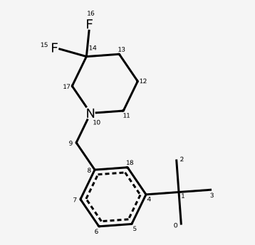 CC(C)(C)c1cccc(CN2CCCC(F)(F)C2)c1